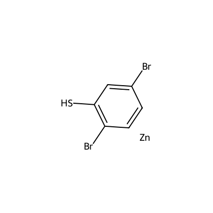 Sc1cc(Br)ccc1Br.[Zn]